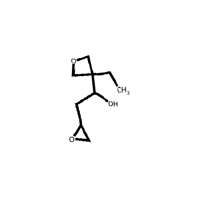 CCC1(C(O)CC2CO2)COC1